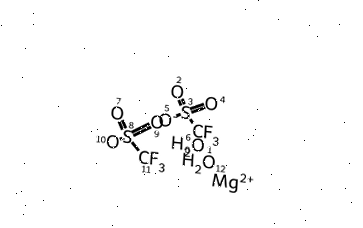 O.O.O=S(=O)([O-])C(F)(F)F.O=S(=O)([O-])C(F)(F)F.[Mg+2]